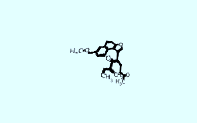 C=C(CC)C(=O)C(CCC(C)=O)c1coc2ccc3cc(COC)ccc3c12